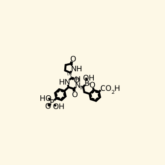 O=C1CC[C@@H](C(=O)NC(C(=O)N[C@H]2Cc3cccc(C(=O)O)c3OB2O)c2ccc(P(=O)(O)O)cc2)N1